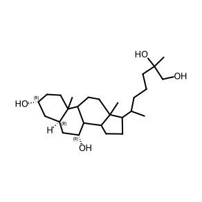 CC(CCCC(C)(O)CO)C1CCC2C3C(CCC12C)C1(C)CC[C@@H](O)C[C@@H]1C[C@H]3O